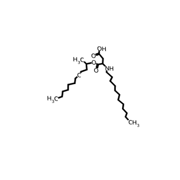 CCCCCCCCCCCCNC(CC(=O)O)C(=O)OC(C)CCCCCCCCCC